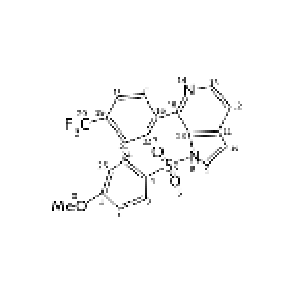 COc1ccc(S(=O)(=O)n2ccc3ccnc(-c4ccc(C(F)(F)F)cc4)c32)cc1